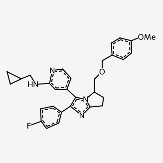 COc1ccc(COCC2CCc3nc(-c4ccc(F)cc4)c(-c4ccnc(NCC5CC5)c4)n32)cc1